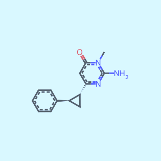 Cn1c(N)nc([C@@H]2C[C@H]2c2ccccc2)cc1=O